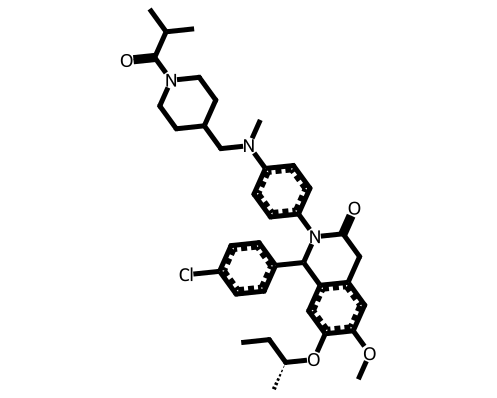 CC[C@@H](C)Oc1cc2c(cc1OC)CC(=O)N(c1ccc(N(C)CC3CCN(C(=O)C(C)C)CC3)cc1)C2c1ccc(Cl)cc1